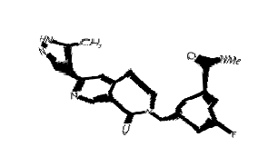 CNC(=O)c1cc(F)cc(Cn2ccc3cc(-c4cn[nH]c4C)ncc3c2=O)c1